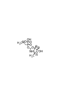 C=CCP(=O)(OC(N)OP(=O)(CC=C)P(=O)(O)O)P(=O)(O)O